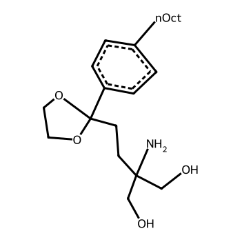 CCCCCCCCc1ccc(C2(CCC(N)(CO)CO)OCCO2)cc1